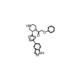 O=C(COc1ccccc1)N1CCNC[C@@H]1c1nc(-c2ccc3[nH]ncc3c2)no1